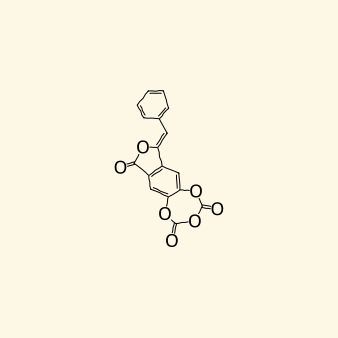 O=C1OC(=O)Oc2cc3c(cc2O1)C(=O)OC3=Cc1ccccc1